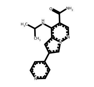 CC(C)Nc1c(C(N)=O)cnn2cc(-c3ccncc3)cc12